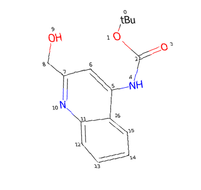 CC(C)(C)OC(=O)Nc1cc(CO)nc2ccccc12